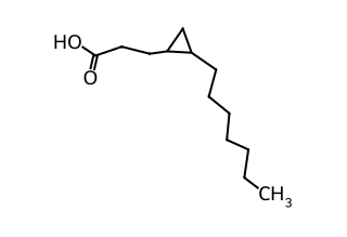 CCCCCCCC1CC1CCC(=O)O